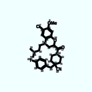 COc1cc2c(cc1Cl)N(CCN(C)C)CC(C(=O)N1CCC(C#N)(Cc3ccc(F)cc3)CC1)O2